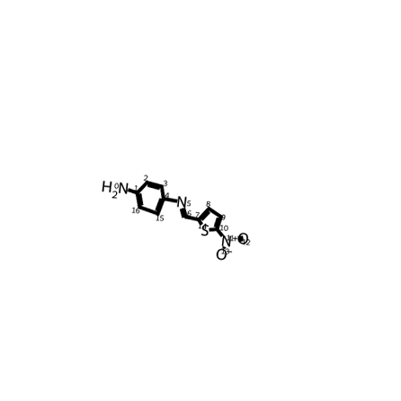 Nc1ccc(N=Cc2ccc([N+](=O)[O-])s2)cc1